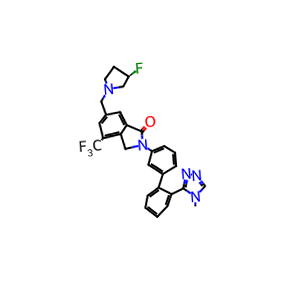 Cn1cnnc1-c1ccccc1-c1cccc(N2Cc3c(cc(CN4CC[C@@H](F)C4)cc3C(F)(F)F)C2=O)c1